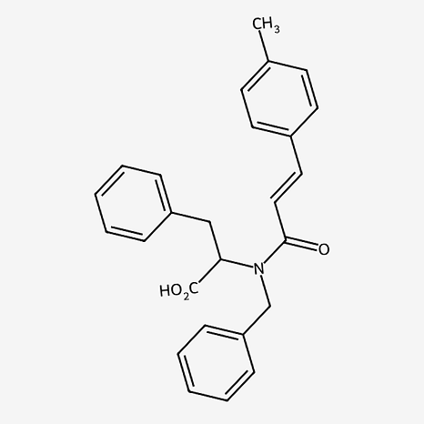 Cc1ccc(C=CC(=O)N(Cc2ccccc2)C(Cc2ccccc2)C(=O)O)cc1